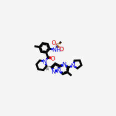 Cc1ccc(NS(C)(=O)=O)c(C(=O)N2CCCC[C@H]2c2cc3nc(N4CCCC4)c(C)cn3n2)c1